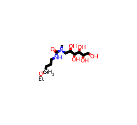 CCO[SiH2]CCCNC(=O)N(C)CC(O)C(O)C(O)C(O)CO